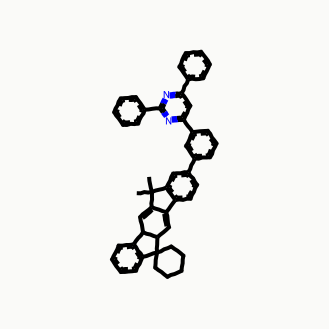 CC1(C)C2=CC3c4ccccc4C4(CCCCC4)C3C=C2c2ccc(-c3cccc(-c4cc(-c5ccccc5)nc(-c5ccccc5)n4)c3)cc21